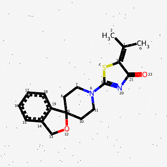 CC(C)=C1SC(N2CCC3(CC2)OCc2ccccc23)=NC1=O